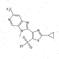 CCS(=O)(=O)c1sc(C2CC2)nc1-c1nc2cc(C(F)(F)F)ncc2n1C